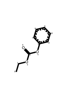 CCOC(=O)Oc1ccccc1